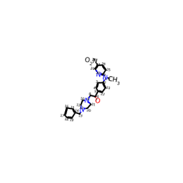 CN(c1ccc(C(=O)CN2CCN(Cc3ccccc3)CC2)cc1)c1ccc([N+](=O)[O-])cn1